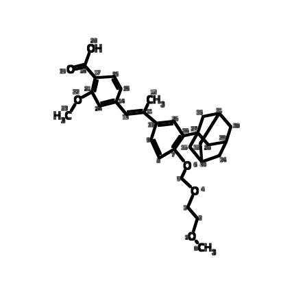 COCCOCOc1ccc(/C(C)=C/c2ccc(C(=O)O)c(OC)c2)cc1C12CC3CC(CC(C3)C1)C2